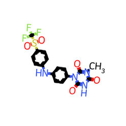 Cn1c(=O)[nH]c(=O)n(-c2ccc(Nc3ccc(S(=O)(=O)C(F)(F)F)cc3)cc2)c1=O